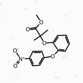 COC(=O)C(C)(C)Oc1ccccc1Oc1ccc([N+](=O)[O-])cc1